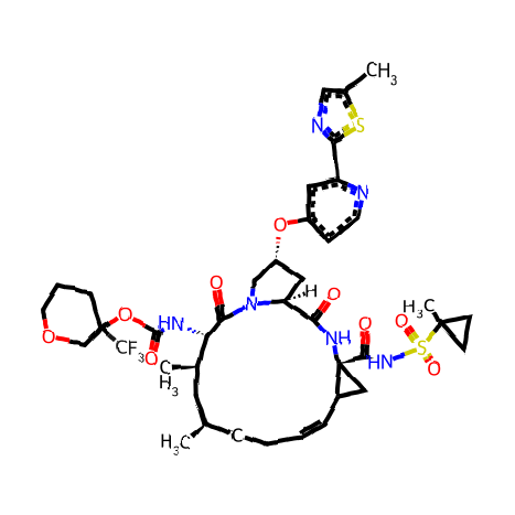 Cc1cnc(-c2cc(O[C@@H]3C[C@H]4C(=O)N[C@]5(C(=O)NS(=O)(=O)C6(C)CC6)CC5/C=C\CC[C@@H](C)C[C@@H](C)[C@H](NC(=O)OC5(C(F)(F)F)CCCOC5)C(=O)N4C3)ccn2)s1